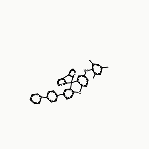 Cc1cc(C)c(Nc2ccc3c(c2)C2(c4cc(-c5ccc(-c6ccccc6)cc5)ccc4O3)c3ccccc3-c3ccccc32)c(C)c1